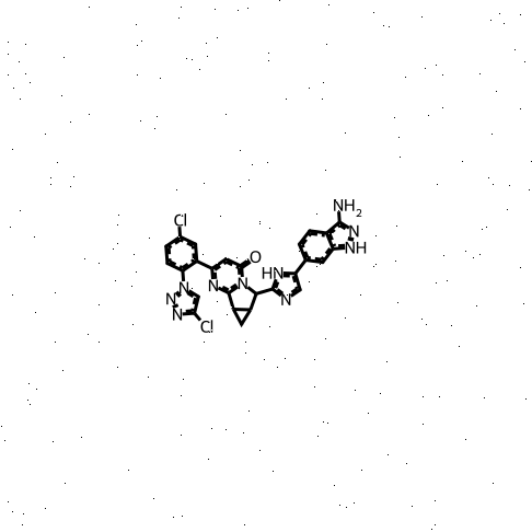 Nc1n[nH]c2cc(-c3cnc(C4C5CC5c5nc(-c6cc(Cl)ccc6-n6cc(Cl)nn6)cc(=O)n54)[nH]3)ccc12